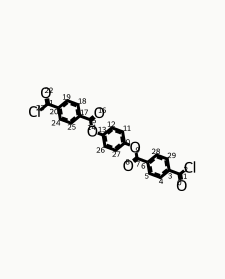 O=C(Cl)c1ccc(C(=O)Oc2ccc(OC(=O)c3ccc(C(=O)Cl)cc3)cc2)cc1